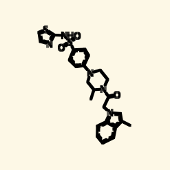 Cc1cn(CC(=O)N2CCN(c3ccc(S(=O)(=O)Nc4nccs4)cc3)CC2C)c2ccccc12